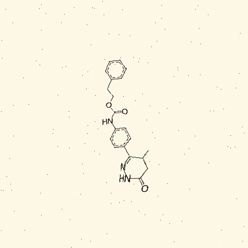 CC1CC(=O)NN=C1c1ccc(NC(=O)OCCc2ccccc2)cc1